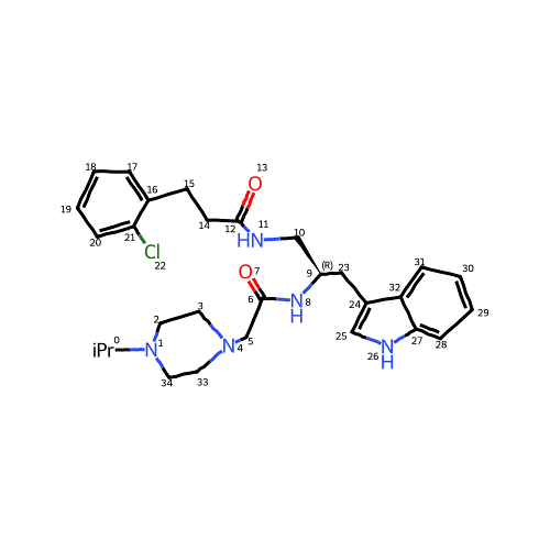 CC(C)N1CCN(CC(=O)N[C@@H](CNC(=O)CCc2ccccc2Cl)Cc2c[nH]c3ccccc23)CC1